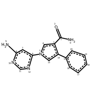 NC(=O)c1cn(-c2cc(N)ncn2)cc1-c1ccccc1